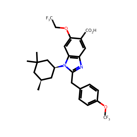 C[C@@H]1C[C@H](n2c(Cc3ccc(OC(F)(F)F)cc3)nc3cc(C(=O)O)c(OCC(F)(F)F)cc32)CC(C)(C)C1